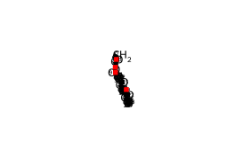 C=CC(=O)OCCOC(=O)C1CCC(C(=O)Oc2ccc(C(=O)Oc3ccccc3)cc2)CC1